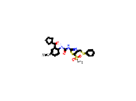 COc1ccc(NC(=O)Nc2nc(CSc3ccccc3)c(S(C)(=O)=O)s2)c(C(=O)C2CCCC2)c1